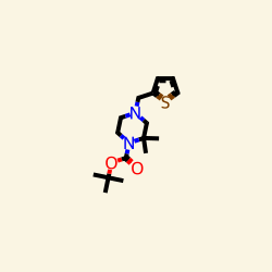 CC(C)(C)OC(=O)N1CCN(Cc2cccs2)CC1(C)C